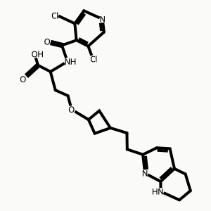 O=C(NC(CCOC1CC(CCc2ccc3c(n2)NCCC3)C1)C(=O)O)c1c(Cl)cncc1Cl